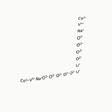 [Co+2].[Co+2].[Li+].[Li+].[Na+].[Na+].[O-2].[O-2].[O-2].[O-2].[O-2].[O-2].[O-2].[O-2].[O-2].[V+5].[V+5]